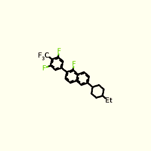 CCC1CCC(c2ccc3c(F)c(-c4cc(F)c(C(F)(F)F)c(F)c4)ccc3c2)CC1